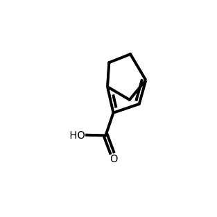 O=C(O)C1=C2CCC(=C1)C2